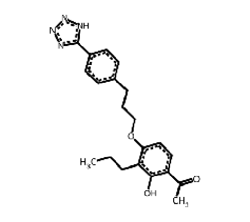 CCCc1c(OCCCc2ccc(-c3nnn[nH]3)cc2)ccc(C(C)=O)c1O